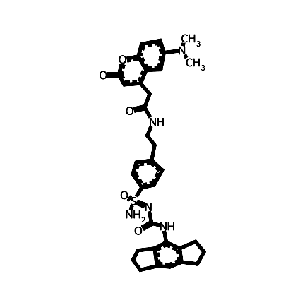 CN(C)c1ccc2oc(=O)cc(CC(=O)NCCc3ccc(S(N)(=O)=NC(=O)Nc4c5c(cc6c4CCC6)CCC5)cc3)c2c1